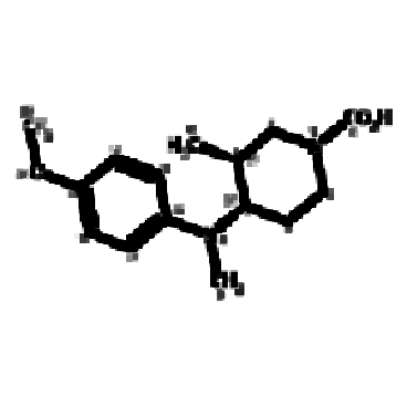 C[C@H]1CN(C(=O)O)CC[C@H]1N(C)c1ccc(OC(F)(F)F)cc1